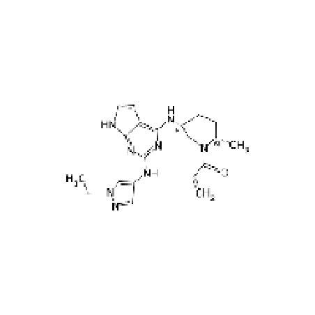 C=CC(=O)N1C[C@H](Nc2nc(Nc3cnn(CC)c3)nc3[nH]ccc23)CC[C@@H]1C